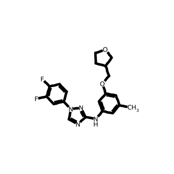 Cc1cc(Nc2ncn(-c3ccc(F)c(F)c3)n2)cc(OCC2CCOC2)c1